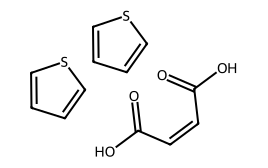 O=C(O)/C=C\C(=O)O.c1ccsc1.c1ccsc1